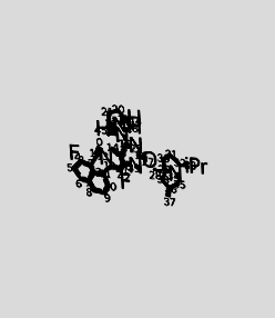 C#Cc1c(F)ccc2cccc(-c3ncc4c(N5C[C@H]6CC[C@@H](C5)N6)nc(OC[C@@]56CC[C@@H](C(C)C)N5CC(=C)C6)nc4c3F)c12